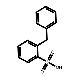 O=S(=O)(O)c1ccccc1Cc1ccccc1